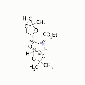 CCOC(=O)/C=C1/[C@H]2OC(C)(C)O[C@H]2O[C@@H]1C1COC(C)(C)O1